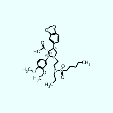 CCCCCS(=O)(=O)N(CCC)CCN1C[C@H](c2ccc3c(c2)OCO3)[C@@H](C(=O)O)[C@@H]1c1ccc(OC)c(OC)c1